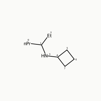 CCCC(CC)NC1CCC1